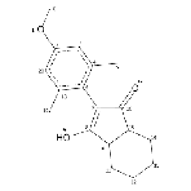 COc1cc(C)c(C2=C(O)C3CCCCC3C2=O)c(C)c1